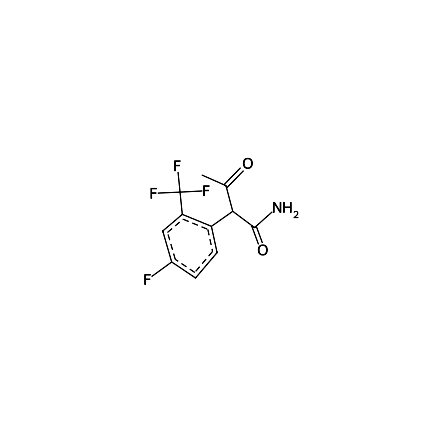 CC(=O)C(C(N)=O)c1ccc(F)cc1C(F)(F)F